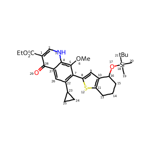 CCOC(=O)c1c[nH]c2c(OC)c(-c3cc4c(s3)CCCC4O[Si](C)(C)C(C)(C)C)c(C3CC3)cc2c1=O